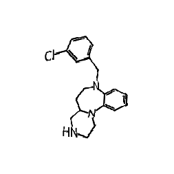 Clc1cccc(CN2CCC3CNCCN3c3ccccc32)c1